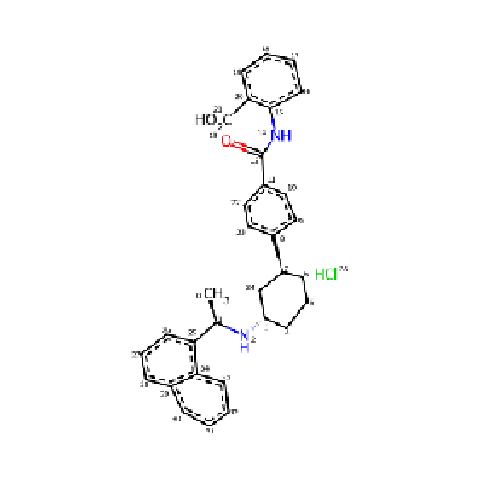 C[C@@H](N[C@H]1CCC[C@H](c2ccc(C(=O)Nc3ccccc3C(=O)O)cc2)C1)c1cccc2ccccc12.Cl